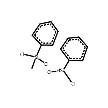 C[Si](Cl)(Cl)c1ccccc1.Cl[SiH](Cl)c1ccccc1